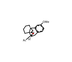 COc1ccc2c(c1)[C@@]13CCCC[C@H]1[C@H](C2)N(C(C)=O)CC3